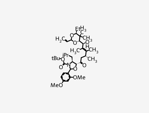 C=CC1O[C@@H](CC)C(C)(C)[C@H]([C@@H](O)/C(C)=C(\C)[C@H](C)CC(=O)[C@@H]2OC(c3ccc(OC)cc3OC)N(C(=O)OC(C)(C)C)[C@H]2CC(C)C)O1